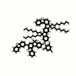 CCCCCCCCC1(CCCCCCCC)c2cc(N(c3ccc4c(c3)C(C)(C)c3cc(-c5ccc6oc7ccccc7c6c5)c5oc6ccccc6c5c3-4)c3c(C)cc(C)cc3C)ccc2-c2cc3c(cc21)-c1c(ccc2oc4ccccc4c12)C3(CCCCCCCC)CCCCCCCC